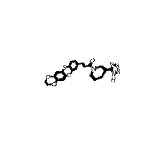 O=C(C=Cc1ccc(Sc2ccc3c(c2)OCCO3)c(Cl)c1)N1CCCC(c2nnn[nH]2)C1